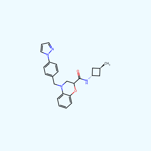 C[C@H]1C[C@H](NC(=O)C2CN(Cc3ccc(-n4cccn4)cc3)c3ccccc3O2)C1